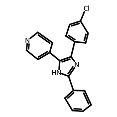 Clc1ccc(-c2nc(-c3ccccc3)[nH]c2-c2ccncc2)cc1